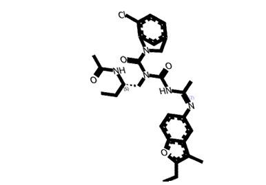 CCc1oc2ccc(/N=C(/C)NC(=O)N(C[C@H](CC)NC(C)=O)C(=O)N3Cc4ccc(Cl)c3c4)cc2c1C